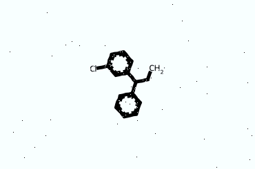 [CH2]CC(c1ccccc1)c1cccc(Cl)c1